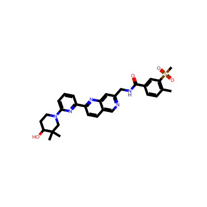 Cc1ccc(C(=O)NCc2cc3nc(-c4cccc(N5CCC(O)C(C)(C)C5)n4)ccc3cn2)cc1S(C)(=O)=O